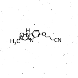 CN(C)Cc1nc2cc(OCCCC#N)ccc2[nH]1